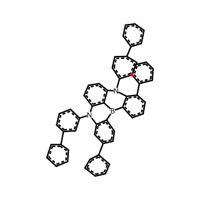 c1ccc(-c2ccc(N3c4cccc5c4B(c4ccc(-c6ccccc6)cc4N5c4cccc(-c5ccccc5)c4)c4cccc(-c5ccccc5)c43)cc2)cc1